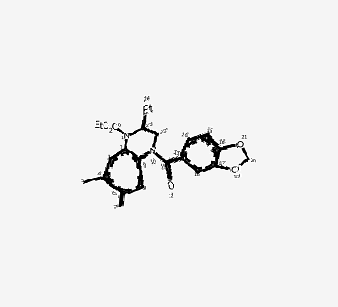 CCOC(=O)N1c2cc(C)c(C)cc2N(C(=O)c2ccc3c(c2)OCO3)CC1CC